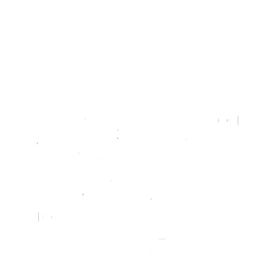 CCOC(=O)C12CC3(O)CC(O)(CC(O)(C3)C1)C2